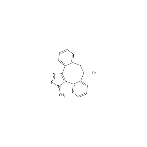 CC(C)C1Cc2ccccc2-c2nnn(C)c2-c2ccccc21